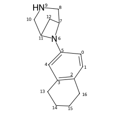 c1cc2c(cc1N1C3CNCC1C3)CCCC2